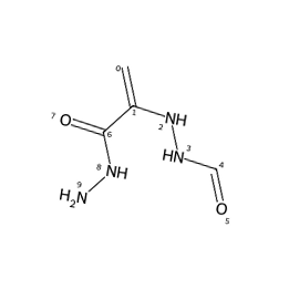 C=C(NNC=O)C(=O)NN